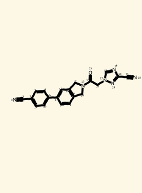 N#Cc1ccc(-c2ccc3c(c2)CN(C(=O)Cn2cnc(C#N)n2)C3)cc1